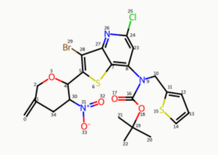 C=C1COC(c2sc3c(N(Cc4cccs4)C(=O)OC(C)(C)C)cc(Cl)nc3c2Br)C([N+](=O)[O-])C1